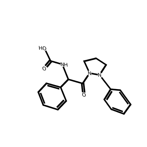 O=C(O)NC(C(=O)N1CCCN1c1ccccc1)c1ccccc1